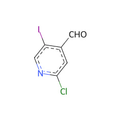 O=Cc1cc(Cl)ncc1I